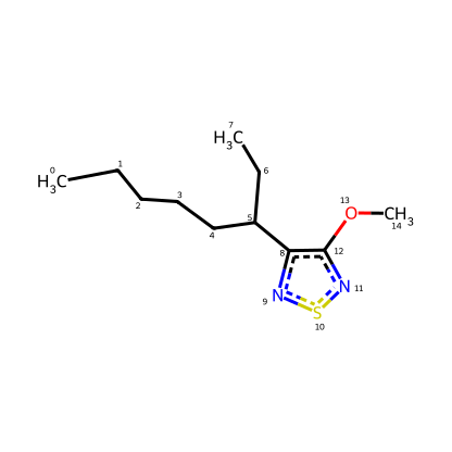 CCCCCC(CC)c1nsnc1OC